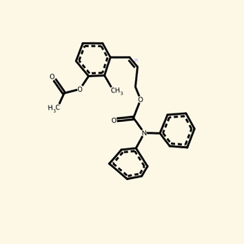 CC(=O)Oc1cccc(/C=C\COC(=O)N(c2ccccc2)c2ccccc2)c1C